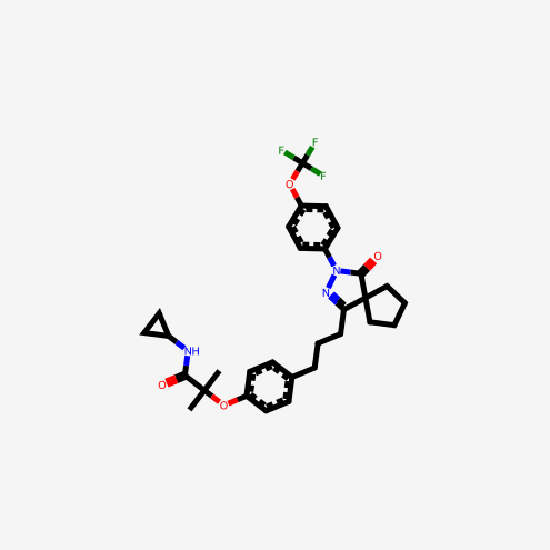 CC(C)(Oc1ccc(CCCC2=NN(c3ccc(OC(F)(F)F)cc3)C(=O)C23CCCC3)cc1)C(=O)NC1CC1